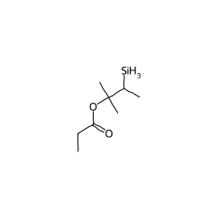 CCC(=O)OC(C)(C)C(C)[SiH3]